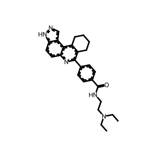 CCN(CC)CCNC(=O)c1ccc(-c2nc3ccc4[nH]ncc4c3c3c2CCCC3)cc1